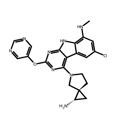 CNc1cc(Cl)cc2c1[nH]c1nc(Oc3cncnc3)nc(N3CC[C@]4(C[C@@H]4N)C3)c12